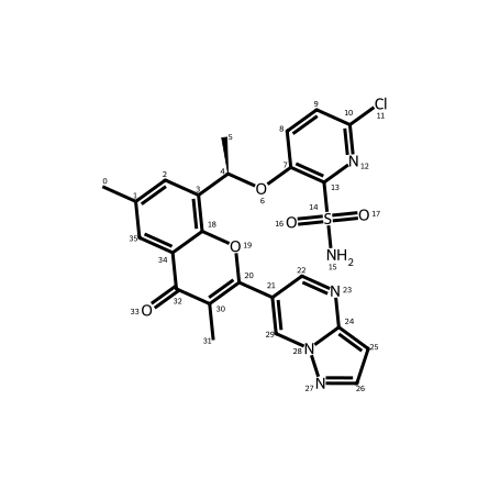 Cc1cc([C@@H](C)Oc2ccc(Cl)nc2S(N)(=O)=O)c2oc(-c3cnc4ccnn4c3)c(C)c(=O)c2c1